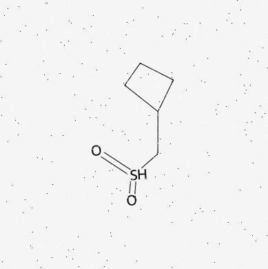 O=[SH](=O)CC1CCC1